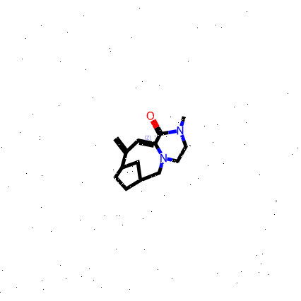 C=C1/C=C2/C(=O)N(C)CCN2CC2CCC1C2